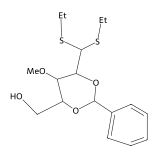 CCSC(SCC)C1OC(c2ccccc2)OC(CO)C1OC